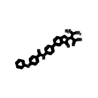 CC(C)C(C(=O)O)N1Cc2ccc(-c3ccc(NC(=O)c4ccc(Oc5ccccc5)cc4)cc3)cc2C1=O